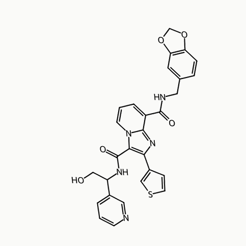 O=C(NCc1ccc2c(c1)OCO2)c1cccn2c(C(=O)NC(CO)c3cccnc3)c(-c3ccsc3)nc12